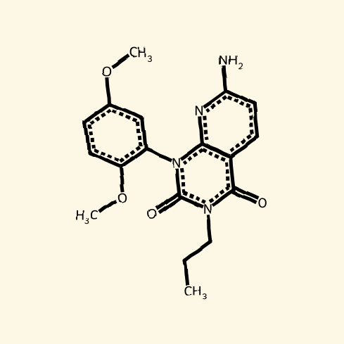 CCCn1c(=O)c2ccc(N)nc2n(-c2cc(OC)ccc2OC)c1=O